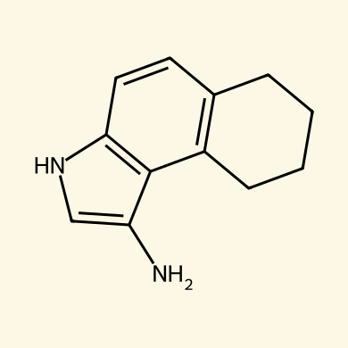 Nc1c[nH]c2ccc3c(c12)CCCC3